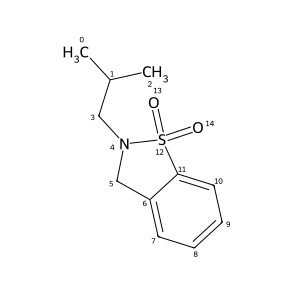 CC(C)CN1Cc2ccccc2S1(=O)=O